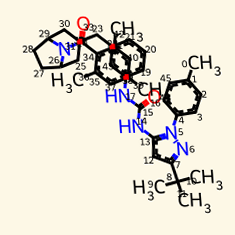 Cc1ccc(-n2nc(C(C)(C)C)cc2NC(=O)Nc2cccc(CC3CC4CCC(C3)N4C(=O)c3c(C)cc(C)cc3C)c2)cc1